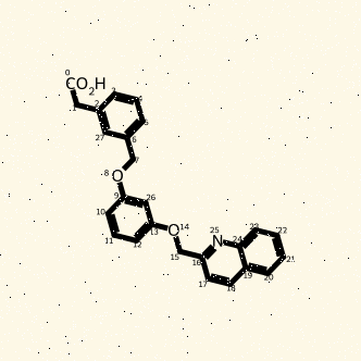 O=C(O)Cc1cccc(COc2cccc(OCc3ccc4ccccc4n3)c2)c1